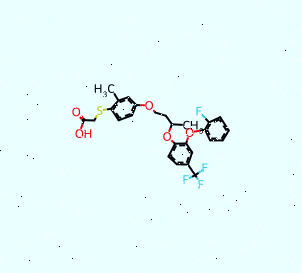 Cc1cc(OCCC(C)Oc2ccc(C(F)(F)F)cc2Oc2ccccc2F)ccc1SCC(=O)O